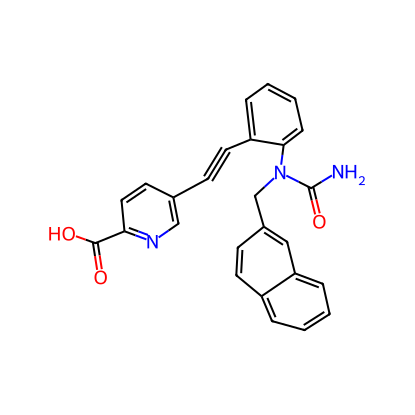 NC(=O)N(Cc1ccc2ccccc2c1)c1ccccc1C#Cc1ccc(C(=O)O)nc1